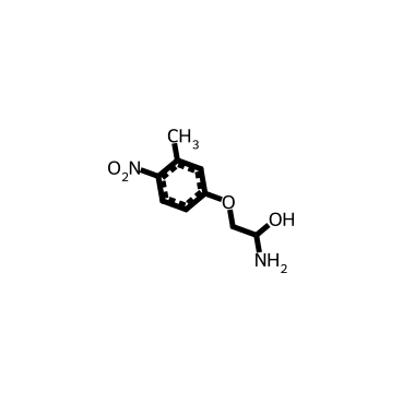 Cc1cc(OCC(N)O)ccc1[N+](=O)[O-]